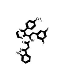 Cc1ccc(-c2nccnc2C(Cc2cc(F)cc(F)c2)NC(=O)Cc2n[nH]c3ccccc23)cc1